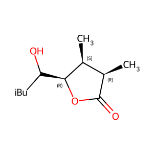 CCC(C)C(O)[C@@H]1OC(=O)[C@H](C)[C@@H]1C